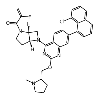 C=C(F)C(=O)N1CC[C@@H]2[C@H]1CN2c1nc(OC[C@@H]2CCCN2C)nc2cc(-c3cccc4cccc(Cl)c34)ccc12